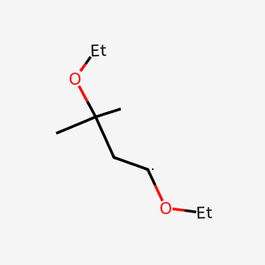 CCO[CH]CC(C)(C)OCC